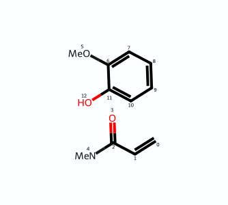 C=CC(=O)NC.COc1ccccc1O